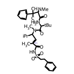 CNC(C(=O)NC(C(=O)N(C)C(/C=C(\C)C(=O)NS(=O)(=O)CCc1ccccc1)C(C)C)C(C)(C)C)C(C)(C)c1ccccc1